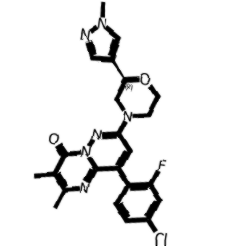 Cc1nc2c(-c3ccc(Cl)cc3F)cc(N3CCO[C@H](c4cnn(C)c4)C3)nn2c(=O)c1C